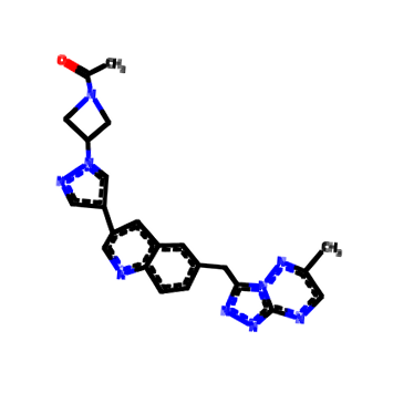 CC(=O)N1CC(n2cc(-c3cnc4ccc(Cc5nnc6ncc(C)nn56)cc4c3)cn2)C1